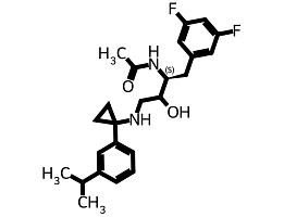 CC(=O)N[C@@H](Cc1cc(F)cc(F)c1)C(O)CNC1(c2cccc(C(C)C)c2)CC1